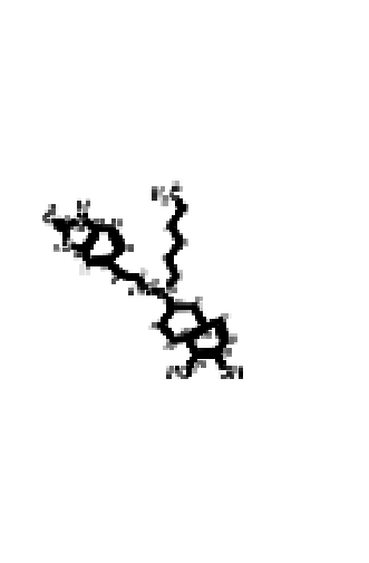 CCCCCCN(NCCc1ccc2[nH]c(=O)sc2c1)C1CCc2c(ccc(O)c2O)C1